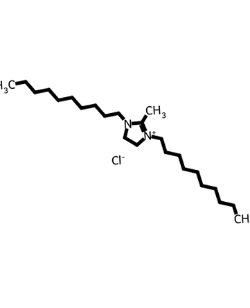 CCCCCCCCCCN1CC[N+](CCCCCCCCCC)=C1C.[Cl-]